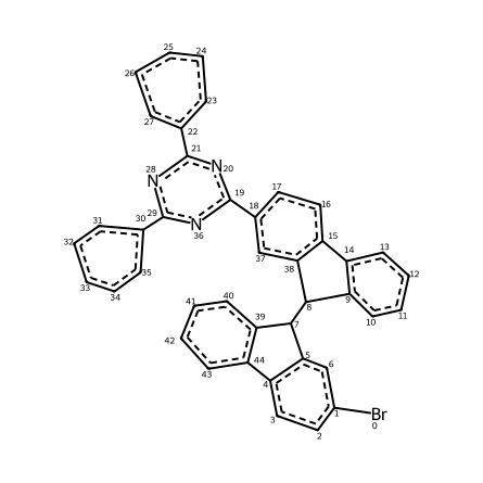 Brc1ccc2c(c1)C(C1c3ccccc3-c3ccc(-c4nc(-c5ccccc5)nc(-c5ccccc5)n4)cc31)c1ccccc1-2